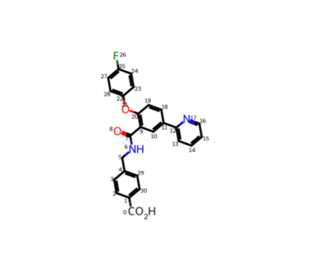 O=C(O)c1ccc(CNC(=O)c2cc(-c3ccccn3)ccc2Oc2ccc(F)cc2)cc1